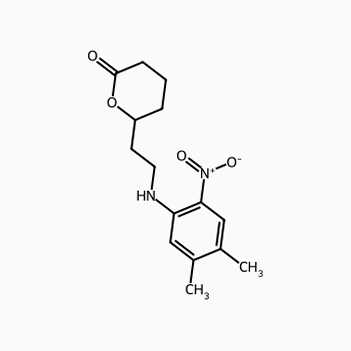 Cc1cc(NCCC2CCCC(=O)O2)c([N+](=O)[O-])cc1C